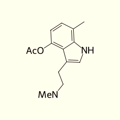 CNCCc1c[nH]c2c(C)ccc(OC(C)=O)c12